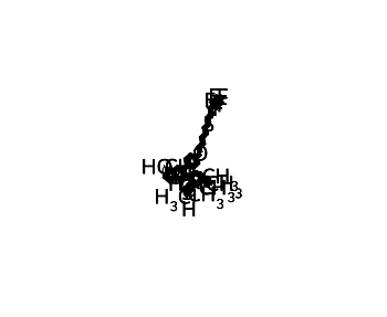 C[SiH](C)Oc1cc(C(C)(C)C)ccc1C1=C(c2ccc(OCCCCCSCCCC(F)(F)C(F)(F)F)cc2)C[C@@]2(C)[C@@H](CC[C@@H]2O)C1